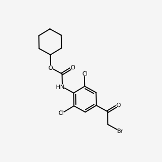 O=C(Nc1c(Cl)cc(C(=O)CBr)cc1Cl)OC1CCCCC1